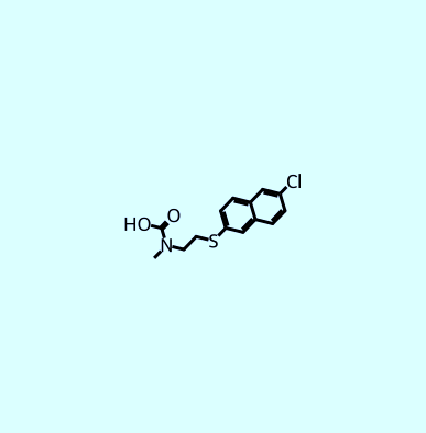 CN(CCSc1ccc2cc(Cl)ccc2c1)C(=O)O